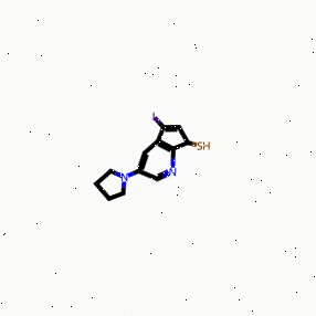 SC1C=C(I)c2cc(N3CCCC3)cnc21